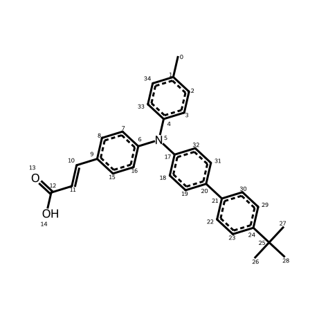 Cc1ccc(N(c2ccc(/C=C/C(=O)O)cc2)c2ccc(-c3ccc(C(C)(C)C)cc3)cc2)cc1